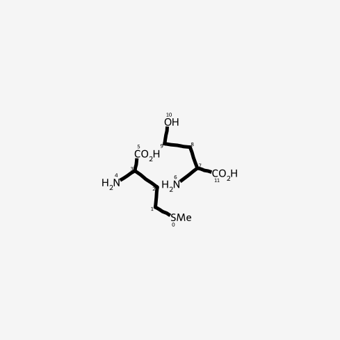 CSCCC(N)C(=O)O.NC(CCO)C(=O)O